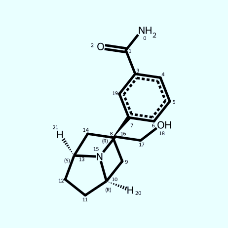 NC(=O)c1cccc([C@H]2C[C@H]3CC[C@@H](C2)N3CCO)c1